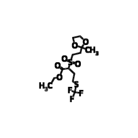 CCOC(=O)C(CCSC(F)(F)F)S(=O)(=O)CCC1(C)OCCO1